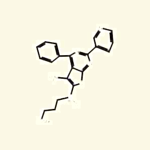 COCCC[S@@+]([O-])c1sc2nc(-c3cccnc3)nc(-c3ccccc3)c2c1N